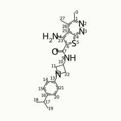 Cc1nnc2sc(C(=O)NC3CN(c4ccc(C(C)C)cc4)C3)c(N)c2c1C